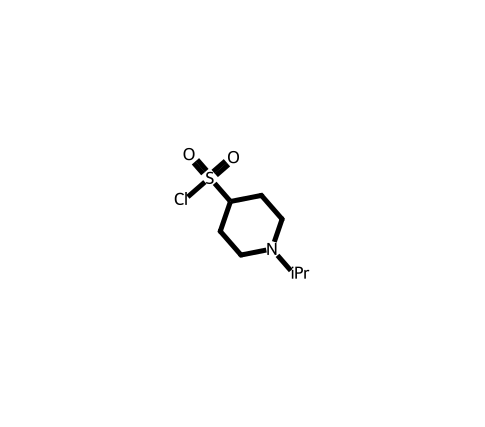 CC(C)N1CCC(S(=O)(=O)Cl)CC1